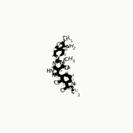 C[C@@H]1OCC2(CCN(c3nc4[nH]nc(-c5ccc6nn(C)c(Cl)c6c5Cl)c4c(=O)n3C)CC2)[C@@H]1N